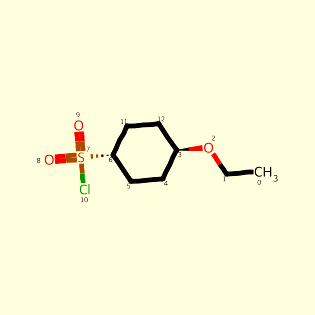 CCO[C@H]1CC[C@H](S(=O)(=O)Cl)CC1